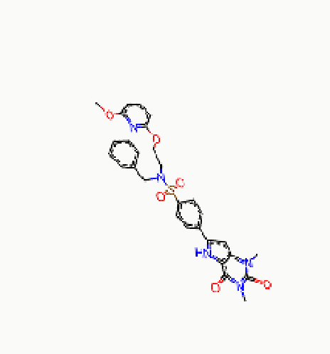 COc1cccc(OCCN(Cc2ccccc2)S(=O)(=O)c2ccc(-c3cc4c([nH]3)c(=O)n(C)c(=O)n4C)cc2)n1